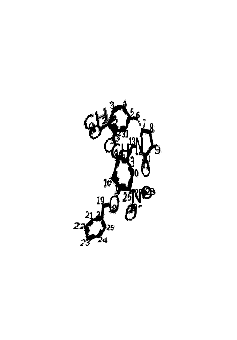 COc1ccc(C[C@@H]2CCC(=O)N2Cc2ccc(OCc3ccccc3)c([N+](=O)[O-])c2)cc1OC